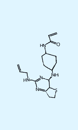 C=CCNC1=N[C@@H](NC2CCC(NC(=O)C=C)CC2)C2SCCC2=N1